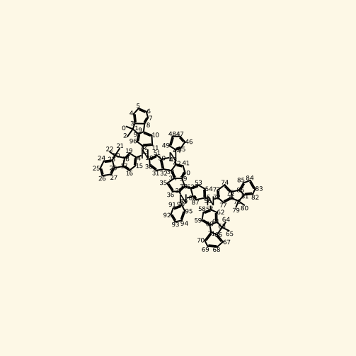 CC1(C)c2ccccc2-c2ccc(N(c3ccc4c(c3)C(C)(C)c3ccccc3-4)c3ccc4c5c6ccc7c(c6ccc5n(-c5ccccc5)c4c3)c3ccc(N(c4ccc5c(c4)C(C)(C)c4ccccc4-5)c4ccc5c(c4)C(C)(C)c4ccccc4-5)cc3n7-c3ccccc3)cc21